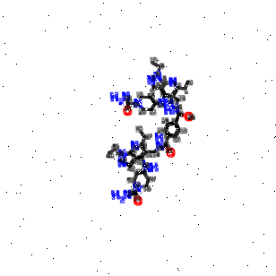 CCc1nc2c(cnn2CC)c(NC2CCN(C(N)=O)CC2)c1CNC(=O)c1ccc(C(=O)NCc2c(CC)nc3c(cnn3CC)c2NC2CCN(C(N)=O)CC2)cc1